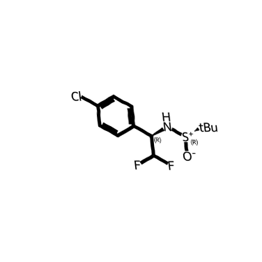 CC(C)(C)[S@+]([O-])N[C@H](c1ccc(Cl)cc1)C(F)F